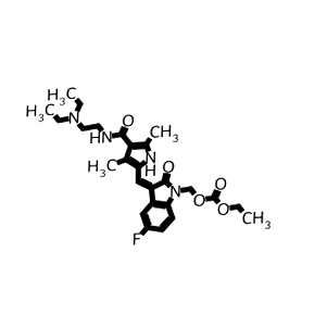 CCOC(=O)OCN1C(=O)/C(=C\c2[nH]c(C)c(C(=O)NCCN(CC)CC)c2C)c2cc(F)ccc21